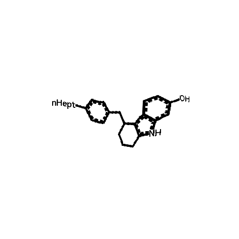 CCCCCCCc1ccc(CC2CCCc3[nH]c4cc(O)ccc4c32)cc1